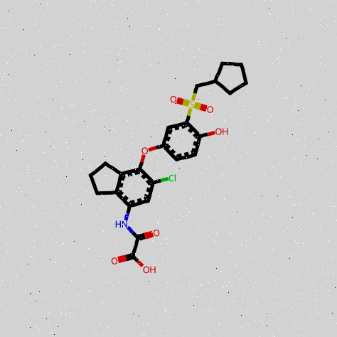 O=C(O)C(=O)Nc1cc(Cl)c(Oc2ccc(O)c(S(=O)(=O)CC3CCCC3)c2)c2c1CCC2